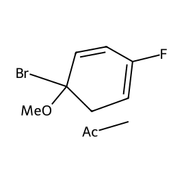 CC(C)=O.COC1(Br)C=CC(F)=CC1